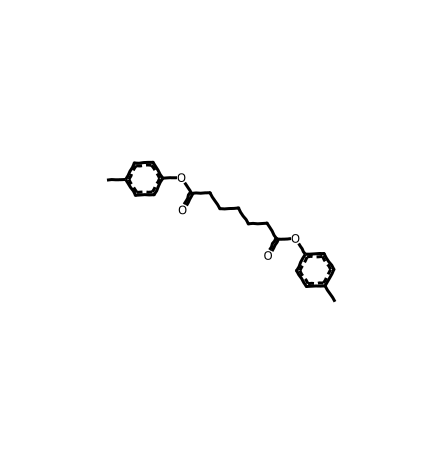 Cc1ccc(OC(=O)CCCCCC(=O)Oc2ccc(C)cc2)cc1